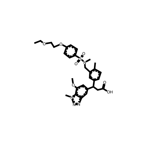 CCOCCOc1ccc(S(=O)(=O)N(C)Cc2cc(C(CC(=O)O)c3cc(OC)c4c(c3)nnn4C)ccc2C)cc1